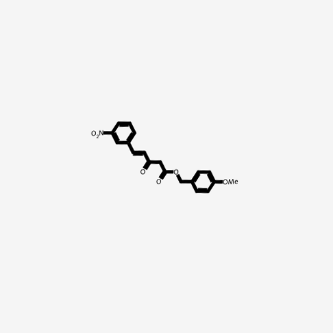 COc1ccc(COC(=O)CC(=O)C=Cc2cccc([N+](=O)[O-])c2)cc1